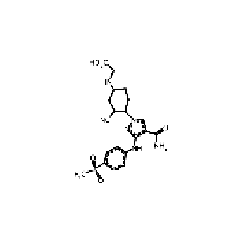 N#CC1CC(NCC(=O)O)CCC1n1cc(C(N)=O)c(Nc2ccc(S(=O)(=O)C(F)(F)F)cc2)n1